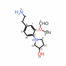 CC(C)(C)OC=O.NCCc1ccc(N2CCC(O)C2)cc1